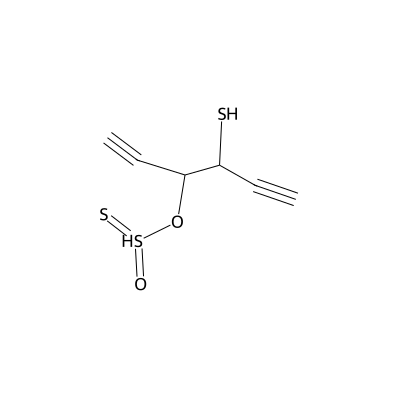 C#CC(S)C(C#C)O[SH](=O)=S